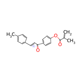 C=C(C)C(=O)Oc1ccc(C(=O)/C=C/c2ccc(C)cc2)cc1